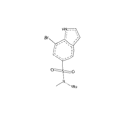 CN(C(C)(C)C)S(=O)(=O)c1cc(Br)c2[nH]ccc2c1